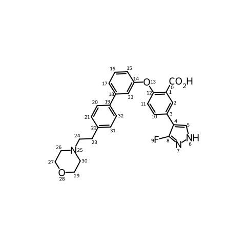 O=C(O)c1cc(-c2c[nH]nc2F)ccc1Oc1cccc(-c2ccc(CCN3CCOCC3)cc2)c1